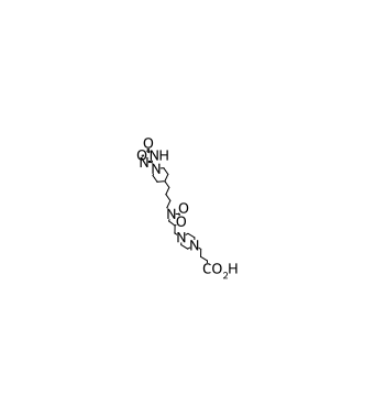 O=C(O)CCCN1CCN(CC2CN(CCCCC3CCN(c4noc(=O)[nH]4)CC3)C(=O)O2)CC1